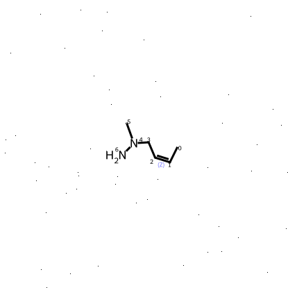 C/C=C\CN(C)N